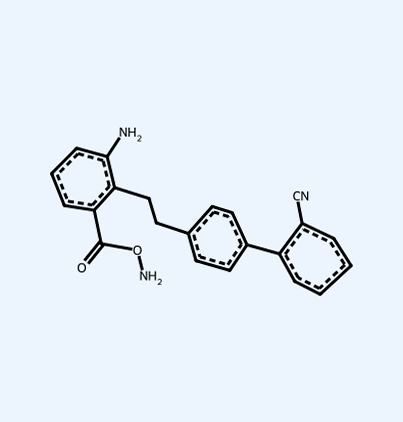 N#Cc1ccccc1-c1ccc(CCc2c(N)cccc2C(=O)ON)cc1